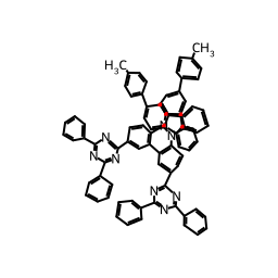 Cc1ccc(-c2ccc3c(c2)c2ccccc2n3-c2ccc(-c3nc(-c4ccccc4)nc(-c4ccccc4)n3)cc2-c2cc(-c3nc(-c4ccccc4)nc(-c4ccccc4)n3)ccc2-n2c3ccccc3c3cc(-c4ccc(C)cc4)ccc32)cc1